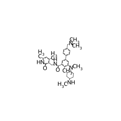 CN[C@H]1CC[C@@H](N(C)c2cc(-c3ccc(CN(C)C)cc3)cc(C(=O)NCc3c(C)cc(C)[nH]c3=O)c2C)CC1